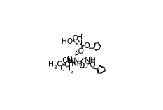 CC(C)(C)OC(=O)NNC(=O)[C@H](CC1CC1)NC(=O)OCc1ccccc1.O=C(O)CNC(=O)OCc1ccccc1